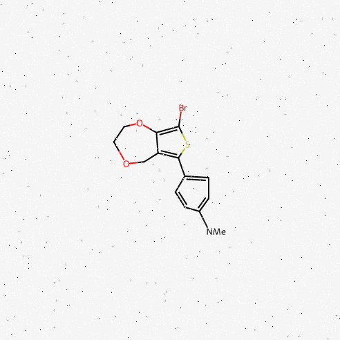 CNc1ccc(-c2sc(Br)c3c2COCCO3)cc1